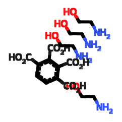 NCCO.NCCO.NCCO.NCCO.O=C(O)c1ccc(C(=O)O)c(C(=O)O)c1C(=O)O